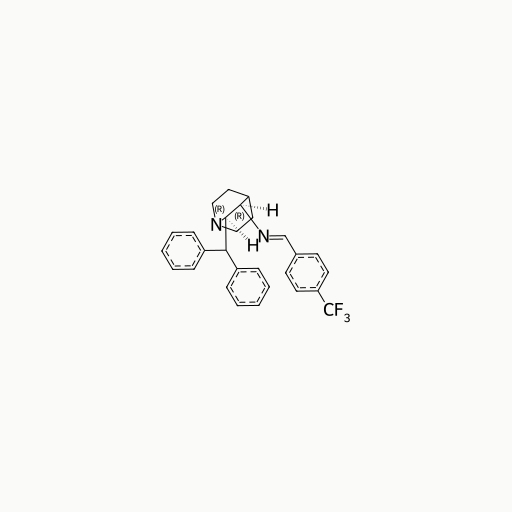 FC(F)(F)c1ccc(C=N[C@@H]2C3CCN(CC3)[C@@H]2C(c2ccccc2)c2ccccc2)cc1